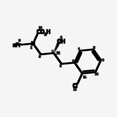 CCCN(C[C@H](O)Cc1ccccc1Cl)C(=O)O